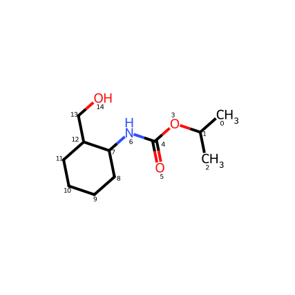 CC(C)OC(=O)NC1CCCCC1CO